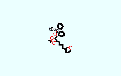 CC1(C)OC(CCCCC2=CC=COC2)C(CO[Si](c2ccccc2)(c2ccccc2)C(C)(C)C)O1